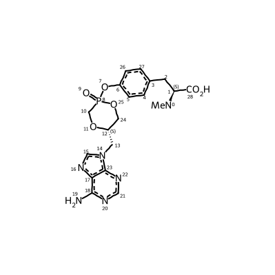 CN[C@@H](Cc1ccc(OP2(=O)CO[C@@H](Cn3cnc4c(N)ncnc43)CO2)cc1)C(=O)O